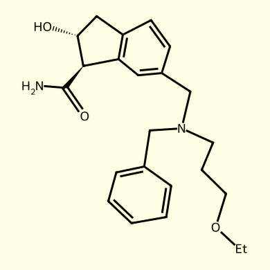 CCOCCCN(Cc1ccccc1)Cc1ccc2c(c1)[C@@H](C(N)=O)[C@H](O)C2